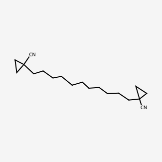 N#CC1(CCCCCCCCCCCC2(C#N)CC2)CC1